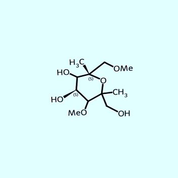 COC[C@]1(C)OC(C)(CO)C(OC)[C@@H](O)C1O